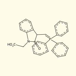 O=C(O)CN1C(=O)C(C=P(c2ccccc2)(c2ccccc2)c2ccccc2)c2ccccc21